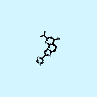 CC(C)c1cc(Br)c2ccc3nc(-c4nnco4)cn3c2n1